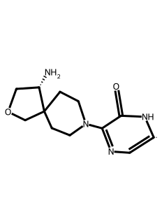 N[C@H]1COCC12CCN(c1nc[c][nH]c1=O)CC2